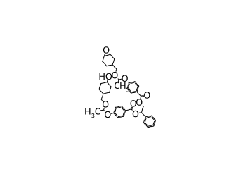 CC(OCC1CCC(O)CC1)Oc1ccc(C(=O)OC(COC(=O)c2ccc(OC(C)OCC3CCC4OC4C3)cc2)c2ccccc2)cc1